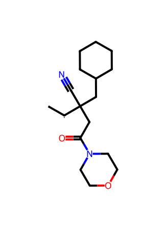 C[CH]C(C#N)(CC(=O)N1CCOCC1)CC1CCCCC1